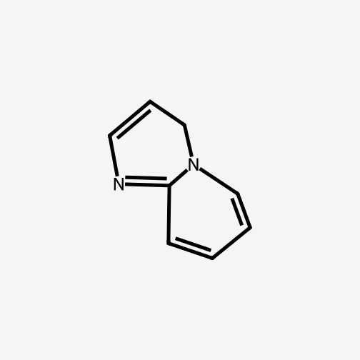 C1=CC2=NC=CCN2C=C1